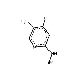 CC(C)Nc1ncc(C(F)(F)F)c(Cl)n1